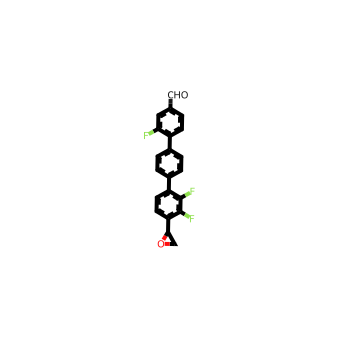 O=Cc1ccc(-c2ccc(-c3ccc(C4CO4)c(F)c3F)cc2)c(F)c1